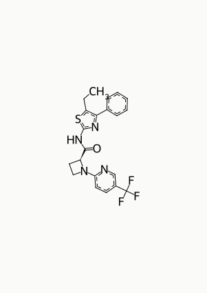 CCc1sc(NC(=O)[C@@H]2CCN2c2ccc(C(F)(F)F)cn2)nc1-c1ccccc1